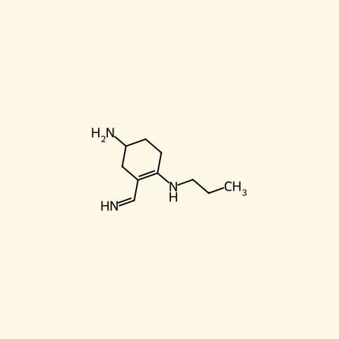 CCCNC1=C(C=N)CC(N)CC1